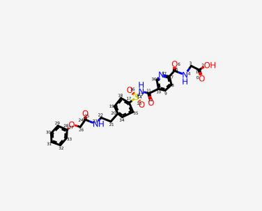 O=C(O)CNC(=O)c1ccc(C(=O)NS(=O)(=O)c2ccc(CCNC(=O)COc3ccccc3)cc2)cn1